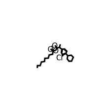 CCCCCCCCCC(=O)OC(OC)C(C)c1ccc(C2CCCCC2)c(Cl)c1